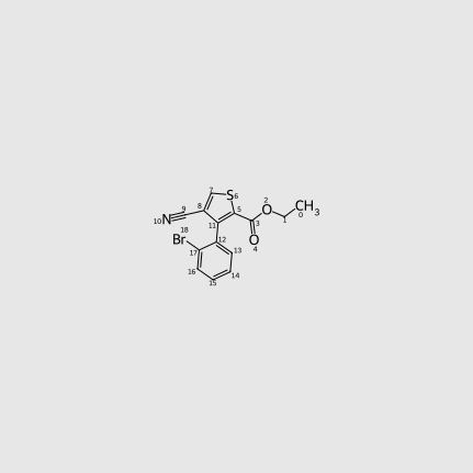 CCOC(=O)c1scc(C#N)c1-c1ccccc1Br